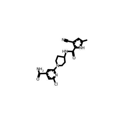 Cc1cc(C#N)c(C(=O)NC2CCN(c3cc(C(N)=O)cc(Cl)n3)CC2)[nH]1